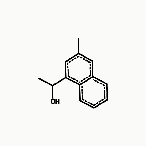 Cc1cc(C(C)O)c2ccccc2c1